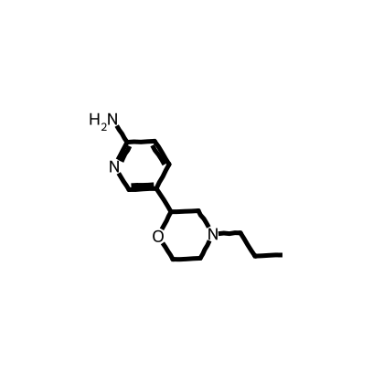 CCCN1CCOC(c2ccc(N)nc2)C1